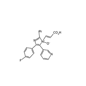 CC(C)C1=NC(c2ccc(F)cc2)=C(c2cccnc2)[N+]1([O-])/C=C/C(=O)O